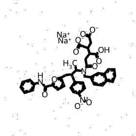 CC(C(Cc1ccc(C(=O)Nc2ccccc2)o1)c1ccc([N+](=O)[O-])cc1)N(Cc1ccc2ccccc2c1)C(=O)CC(C(=O)O)C(CC(=O)[O-])C(=O)[O-].[Na+].[Na+]